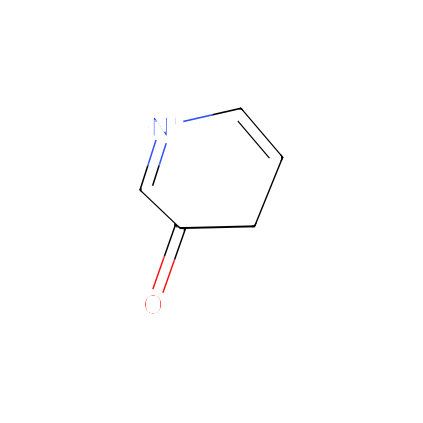 O=C1C=[N+]C=CC1